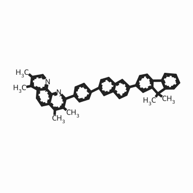 Cc1cnc2c(ccc3c(C)c(C)c(-c4ccc(-c5ccc6cc(-c7ccc8c(c7)C(C)(C)c7ccccc7-8)ccc6c5)cc4)nc32)c1C